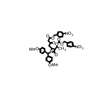 COc1ccc(C(c2ccc(OC)cc2)N2C(=O)C(C(C)OC(=O)OCc3ccc([N+](=O)[O-])cc3)C2CC(=O)CC(=O)OCc2ccc([N+](=O)[O-])cc2)cc1